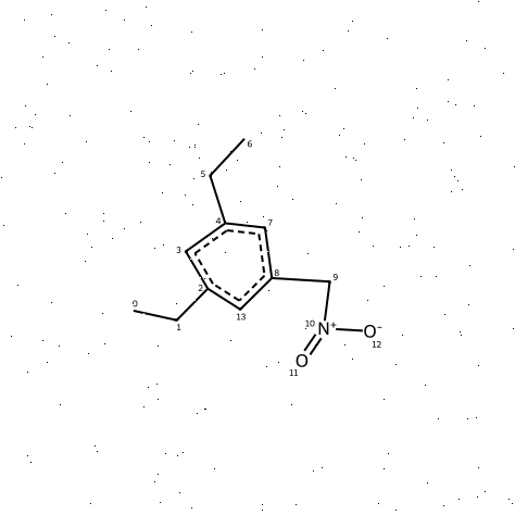 CCc1cc(CC)cc(C[N+](=O)[O-])c1